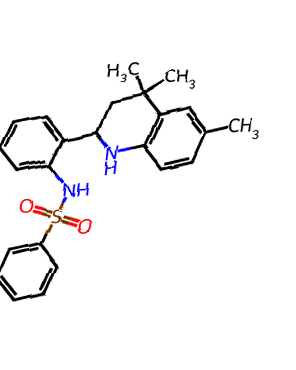 Cc1ccc2c(c1)C(C)(C)CC(c1ccccc1NS(=O)(=O)c1ccccc1)N2